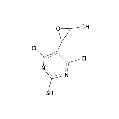 OC1OC1c1c(Cl)nc(S)nc1Cl